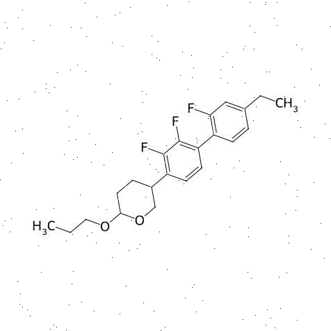 CCCOC1CCC(c2ccc(-c3ccc(CC)cc3F)c(F)c2F)CO1